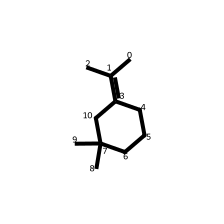 CC(C)=C1CCCC(C)(C)C1